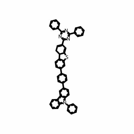 C1=C(c2nc(-c3ccccc3)nc(-c3ccccc3)n2)C=C2Sc3cc(-c4ccc(-c5ccc6c(c5)c5ccccc5n6-c5ccccc5)cc4)ccc3C2C1